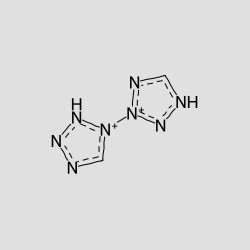 c1n[n+](-[n+]2cnn[nH]2)n[nH]1